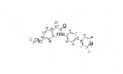 Cc1cc(-c2ccc(NC(=O)C(C)c3ccc(OC(F)(F)F)cc3)cc2)ccn1